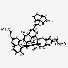 COCOc1cc(-c2c(F)c(OC)c3c(N4CCCn5nc(C(=O)NC(C)C)cc5C4)nc(OC[C@@]45CCCN4C[C@H](F)C5)nc3c2F)c2c(C#C[Si](C(C)C)(C(C)C)C(C)C)c(F)ccc2c1